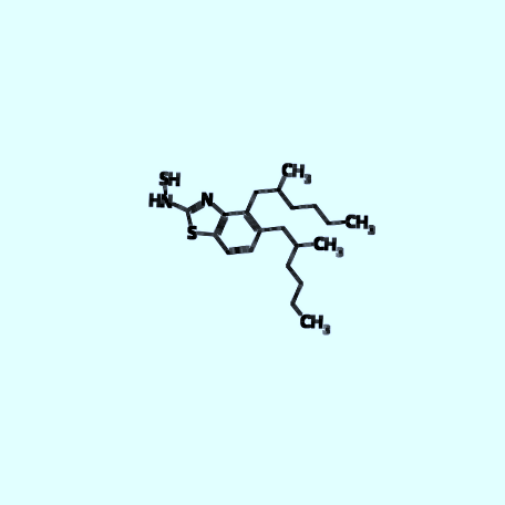 CCCCC(C)Cc1ccc2sc(NS)nc2c1CC(C)CCCC